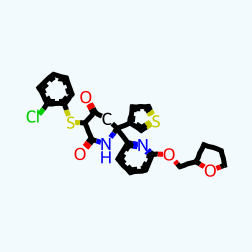 O=C1CC(c2ccsc2)(c2cccc(OCC3CCCO3)n2)NC(=O)C1Sc1ccccc1Cl